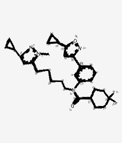 Cn1nc(C2CC2)cc1CCCCCN(C(=O)C1CCC(F)(F)CC1)c1cccc(-c2cc(C3CC3)on2)c1